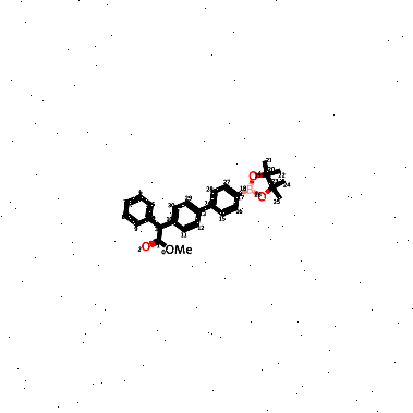 COC(=O)C(c1ccccc1)c1ccc(-c2ccc(B3OC(C)(C)C(C)(C)O3)cc2)cc1